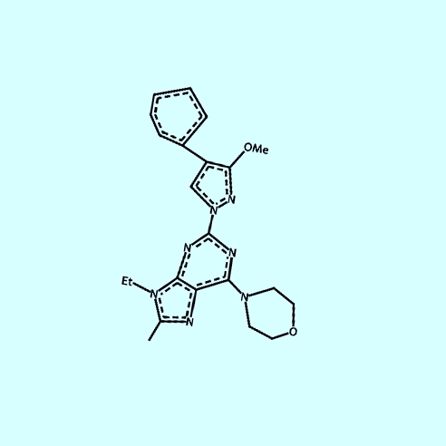 CCn1c(C)nc2c(N3CCOCC3)nc(-n3cc(-c4ccccc4)c(OC)n3)nc21